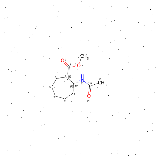 COC(=O)[C@H]1CCCCC[C@H]1NC(C)=O